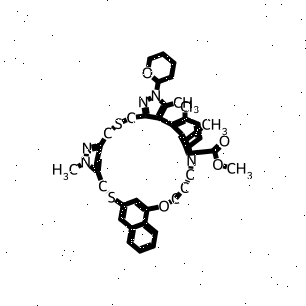 COC(=O)c1c(C)c2c3c(Cl)ccc2n1CCCOc1cc(cc2ccccc12)SCc1cc(nn1C)CSCc1nn(C2CCCCO2)c(C)c1-3